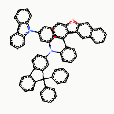 c1ccc(C2(c3ccccc3)c3ccccc3-c3ccc(N(c4cccc(-n5c6ccccc6c6ccccc65)c4)c4ccccc4-c4cccc5oc6cc7ccccc7cc6c45)cc32)cc1